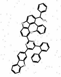 Cc1ccccc1-c1c(C(C)c2ccccc2)ccc2oc3ccc(-c4nc(-c5ccc6c(c5)oc5ccccc56)cc(-c5ccccc5-c5ccccc5)n4)cc3c12